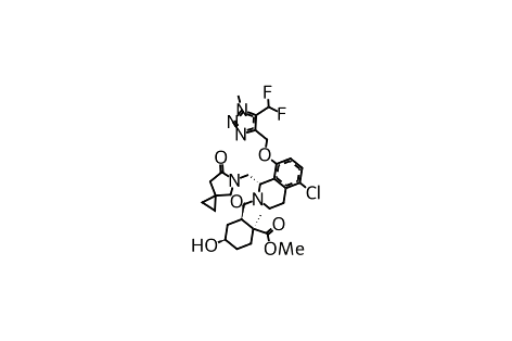 COC(=O)[C@@]1(C)CC[C@@H](O)C[C@H]1C(=O)N1CCc2c(Cl)ccc(OCc3nnn(C)c3C(F)F)c2[C@H]1CN1CC2(CC2)CC1=O